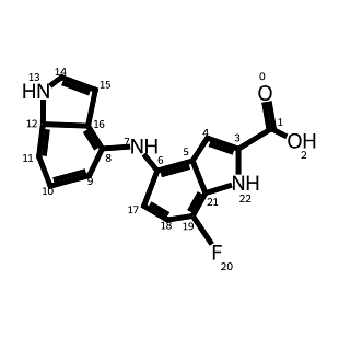 O=C(O)c1cc2c(Nc3cccc4[nH]ccc34)ccc(F)c2[nH]1